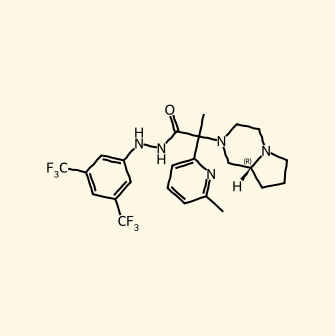 Cc1cccc(C(C)(C(=O)NNc2cc(C(F)(F)F)cc(C(F)(F)F)c2)N2CCN3CCC[C@@H]3C2)n1